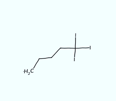 [CH2]CCCC(I)(I)I